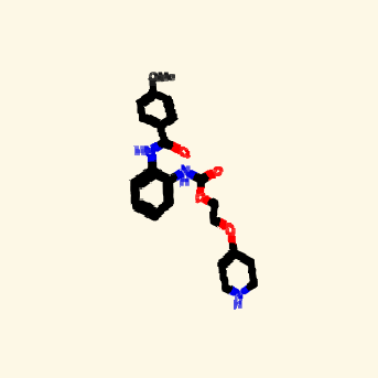 COc1ccc(C(=O)Nc2ccccc2NC(=O)OCCOC2CCNCC2)cc1